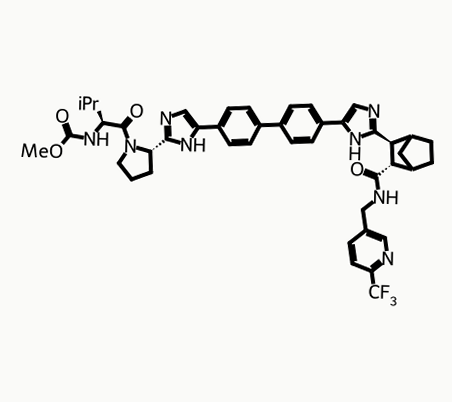 COC(=O)N[C@H](C(=O)N1CCC[C@H]1c1ncc(-c2ccc(-c3ccc(-c4cnc([C@H]5C6CCC(C6)[C@@H]5C(=O)NCc5ccc(C(F)(F)F)nc5)[nH]4)cc3)cc2)[nH]1)C(C)C